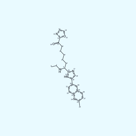 CCNC(CCCCCC(=O)c1ncco1)c1ncc(-c2ccc3nc(C)ccc3c2)[nH]1